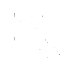 COc1cc2c(cc1C(=O)Nc1cccn(C)c1=O)-c1c(-c3ccc(F)cc3)nc(C(=O)N3CCC[C@]3(C)C#N)n1CC2